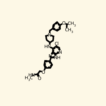 CNC(=O)COc1ccc(-c2nc3c(NC4CCN(Cc5ccc(OC(C)C)cc5)CC4)c(Cl)cnc3[nH]2)cc1